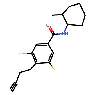 C#CCCc1c(F)cc(C(=O)NC2CCCCC2C)cc1F